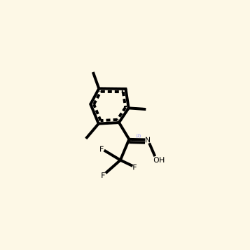 Cc1cc(C)c(/C(=N/O)C(F)(F)F)c(C)c1